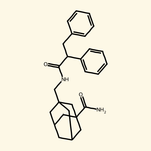 NC(=O)C12[CH]C3CC(CC(CNC(=O)C(Cc4ccccc4)c4ccccc4)(C3)C1)C2